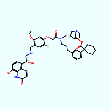 COc1cc(OCC(=O)N(C)CCCc2cccc(C3(C(=O)OC4CN5CCC4CC5)CCCCC3)c2)c(Cl)cc1CNC[C@H](O)c1ccc(O)c2[nH]c(=O)ccc12